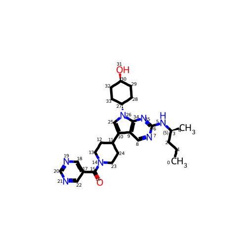 CCC[C@H](C)Nc1ncc2c(C3CCN(C(=O)c4cncnc4)CC3)cn([C@H]3CC[C@H](O)CC3)c2n1